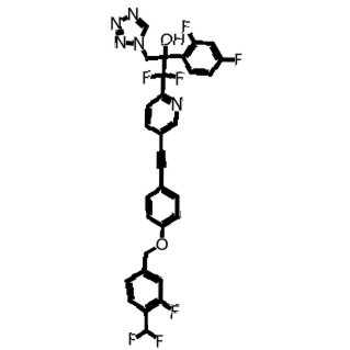 OC(Cn1cnnn1)(c1ccc(F)cc1F)C(F)(F)c1ccc(C#Cc2ccc(OCc3ccc(C(F)F)c(F)c3)cc2)cn1